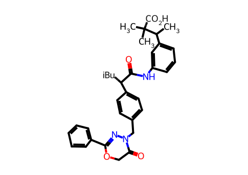 CCC(C)C(C(=O)Nc1cccc(C(C)C(C)(C)C(=O)O)c1)c1ccc(CN2N=C(c3ccccc3)OCC2=O)cc1